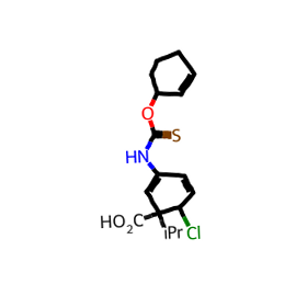 CC(C)C1(C(=O)O)C=C(NC(=S)OC2C=CCCC2)C=CC1Cl